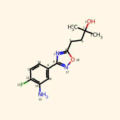 CC(C)(O)CCc1nc(-c2ccc(F)c(N)c2)no1